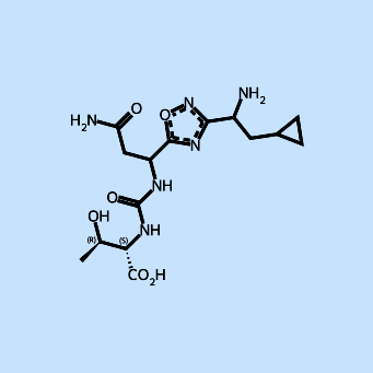 C[C@@H](O)[C@H](NC(=O)NC(CC(N)=O)c1nc(C(N)CC2CC2)no1)C(=O)O